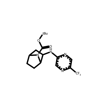 CC(C)(C)OC(=O)N1C2CCC1C(Nc1cnc(C(F)(F)F)cn1)C2